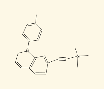 Cc1ccc(N2CC=Cc3ccc(C#C[Si](C)(C)C)cc32)cc1